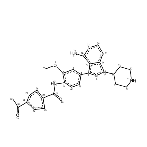 COc1cc(-c2nn(C3CCNCC3)c3ncnc(N)c23)ccc1NC(=O)c1ccc(C(C)=O)cc1